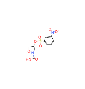 O=C(O)N1C[C@@H](OS(=O)(=O)c2cccc([N+](=O)[O-])c2)CO1